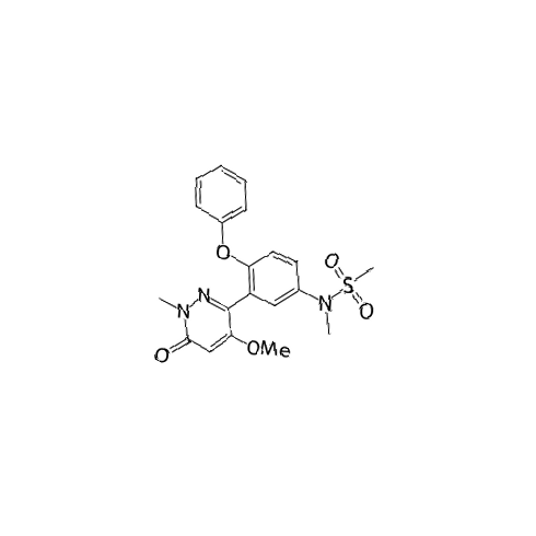 COc1cc(=O)n(C)nc1-c1cc(N(C)S(C)(=O)=O)ccc1Oc1ccccc1